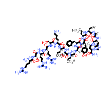 CC(C)C[C@H](NC(=O)[C@H](CCC(=O)O)NC(=O)[C@H](Cc1ccc(O)cc1)NC(=O)[C@H](Cc1ccccc1)NC(=O)[C@@H](NC(=O)[C@H](CCC(=O)O)NC(=O)[C@H](CO)NC(=O)[C@H](CCC(=O)O)NC(=O)[C@H](CCCCN)NC(=O)[C@H](CO)NC(=O)[C@H](CCCNC(=N)N)NC(=O)[C@H](CCCNC(=N)N)NC(=O)[C@H](CO)NC(=O)[C@@H](N)CCCNC(=N)N)C(C)C)C(=O)N[C@@H](C)C(=O)N[C@@H](Cc1c[nH]cn1)C(=O)N[C@@H](CCC(N)=O)C(=O)O